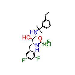 CCc1cccc(C(C)(C)NC[C@H](O)[C@H](Cc2cc(F)cc(F)c2)NC(=O)CF)c1.Cl